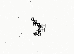 Cc1[nH]c(/C=C2\C(=O)Nc3ccc(-c4ncc(-c5ccccc5)o4)cc32)c(C)c1C(=O)N1CCN(C)CC1